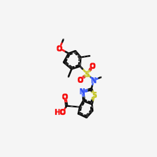 COc1cc(C)c(S(=O)(=O)N(C)c2nc3c(C(=O)O)cccc3s2)c(C)c1